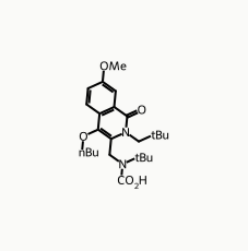 CCCCOc1c(CN(C(=O)O)C(C)(C)C)n(CC(C)(C)C)c(=O)c2cc(OC)ccc12